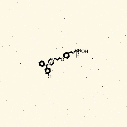 ONNCCCc1ccc(OCCCN2CCN([C@H](c3ccccc3)c3ccc(Cl)cc3)CC2)cc1